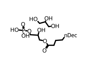 CCCCCCCCCCCCCC(=O)OCC(O)COP(=O)(O)O.OCC(O)CO